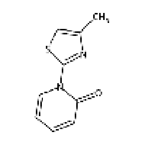 Cc1csc(-n2ccccc2=O)n1